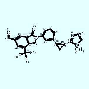 Cn1cnnc1[C@@H]1C[C@@H]1c1cccc(N2Cc3c(cc(C=O)cc3C(F)(F)F)C2=O)c1